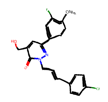 COc1ccc(-c2cc(CO)c(=O)n(CC=Cc3ccc(Cl)cc3)n2)cc1F